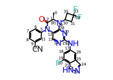 C[C@@H]1C(=O)N(c2cccc(C#N)c2)c2cnc(Nc3cc(F)c4[nH]ncc4c3)nc2N1C1CC(F)(F)C1